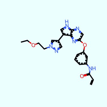 C=CC(=O)Nc1cccc(Oc2cnc3[nH]cc(-c4cnn(CCOCC)c4)c3n2)c1